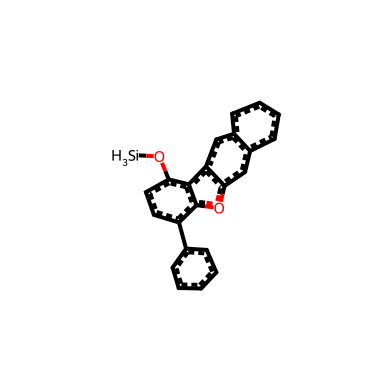 [SiH3]Oc1ccc(-c2ccccc2)c2oc3cc4ccccc4cc3c12